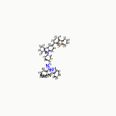 CNC(N/C(=N\Cc1ccc(N2C3=C(C=CCC3C)C3C=C(c4cccc5c4sc4ccccc45)C=CC32)cc1)c1ccccc1)c1ccccc1